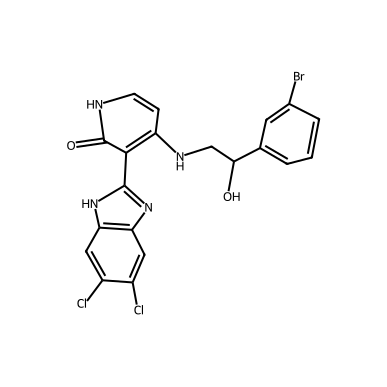 O=c1[nH]ccc(NCC(O)c2cccc(Br)c2)c1-c1nc2cc(Cl)c(Cl)cc2[nH]1